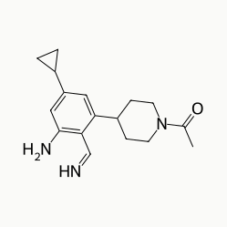 CC(=O)N1CCC(c2cc(C3CC3)cc(N)c2C=N)CC1